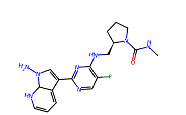 CNC(=O)N1CCC[C@@H]1CNc1nc(C2=CN(N)C3NC=CC=C23)ncc1F